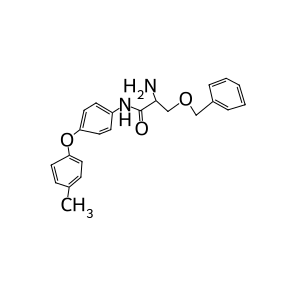 Cc1ccc(Oc2ccc(NC(=O)C(N)COCc3ccccc3)cc2)cc1